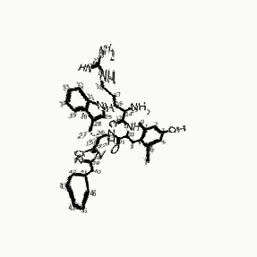 Cc1cc(O)cc(C)c1CC(NC(=O)C(N)CCCNC(=N)N)C(=O)N[C@@H](Cc1c[nH]c2ccccc12)c1nc(Cc2ccccc2)no1